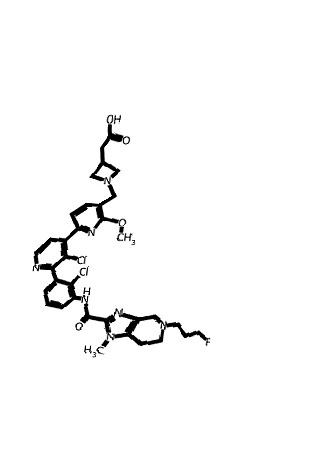 COc1nc(-c2ccnc(-c3cccc(NC(=O)c4nc5c(n4C)CCN(CCCF)C5)c3Cl)c2Cl)ccc1CN1CC(CC(=O)O)C1